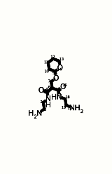 NCCNC(=O)C(COC1CCCCO1)C(=O)NCCN